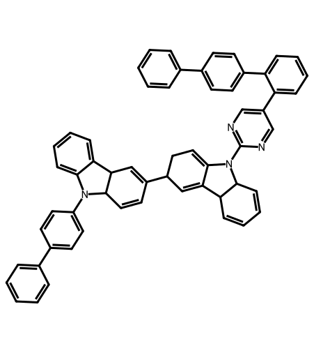 C1=CC2C3=CC(C4=CC5c6ccccc6N(c6ccc(-c7ccccc7)cc6)C5C=C4)CC=C3N(c3ncc(-c4ccccc4-c4ccc(-c5ccccc5)cc4)cn3)C2C=C1